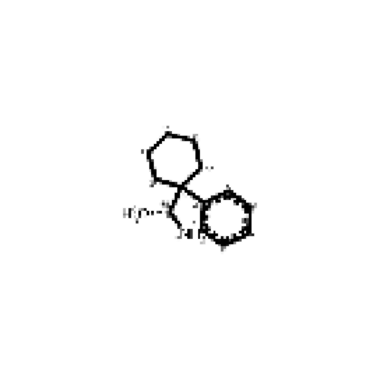 C[C@@H](N)C1(c2ccccc2)C[CH]CCC1